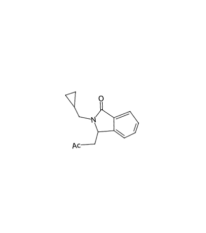 CC(=O)CC1c2ccccc2C(=O)N1CC1CC1